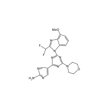 COc1cccc2c1nc(C(F)F)n2-c1nc(-c2cnc(N)nc2)nc(N2CCOCC2)n1